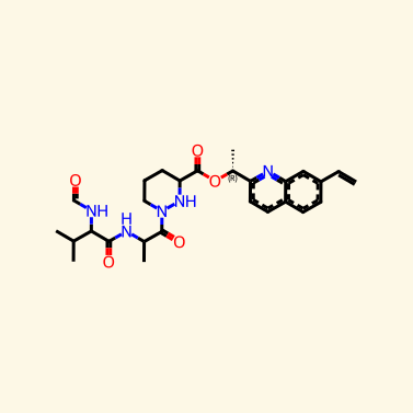 C=Cc1ccc2ccc([C@@H](C)OC(=O)C3CCCN(C(=O)C(C)NC(=O)C(NC=O)C(C)C)N3)nc2c1